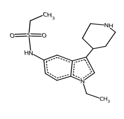 CCn1cc(C2CCNCC2)c2cc(NS(=O)(=O)CC)ccc21